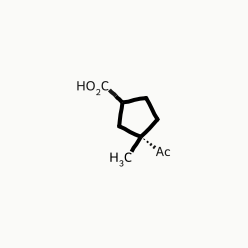 CC(=O)[C@@]1(C)CCC(C(=O)O)C1